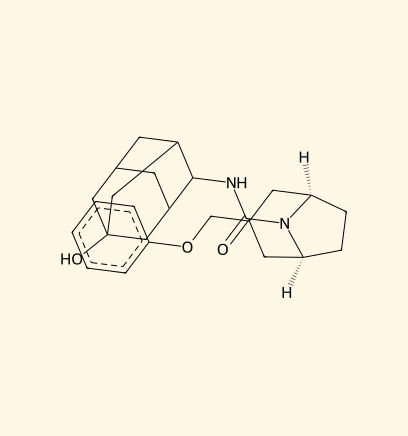 O=C(NC1C2CC3CC1CC(O)(C3)C2)N1[C@@H]2CC[C@H]1CC(COc1ccccc1)C2